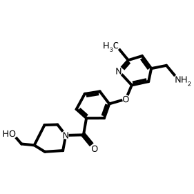 Cc1cc(CN)cc(Oc2cccc(C(=O)N3CCC(CO)CC3)c2)n1